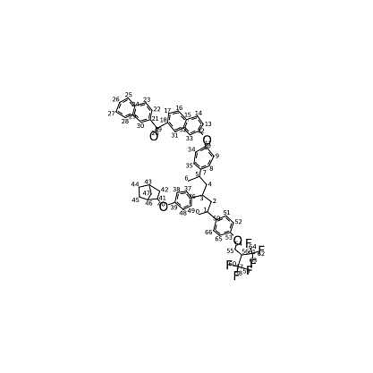 CC(CC(CC(C)c1ccc(Oc2ccc3ccc(C(=O)c4ccc5ccccc5c4)cc3c2)cc1)c1ccc(OC2CC3CCC2C3)cc1)c1ccc(OCC(C(F)(F)F)C(F)(F)F)cc1